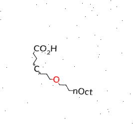 CCCCCCCCCCCOCCC=C=CCCC(=O)O